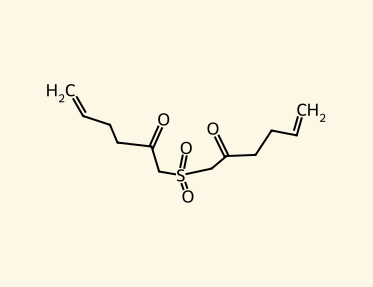 C=CCCC(=O)CS(=O)(=O)CC(=O)CCC=C